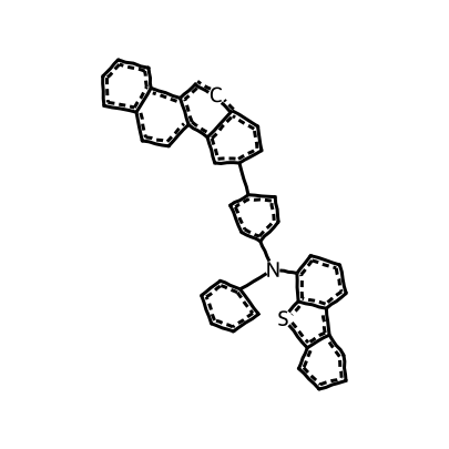 c1ccc(N(c2ccc(-c3ccc4ccc5c6ccccc6ccc5c4c3)cc2)c2cccc3c2sc2ccccc23)cc1